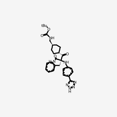 CC(C)(C)OC(=O)NC[C@H]1CC[C@H](C(=O)[C@@](Cc2ccccc2)(Nc2ccc(-c3nn[nH]n3)cc2)C(N)=O)CC1